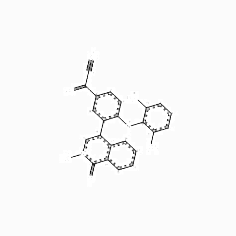 C#CC(=O)c1ccc(Nc2c(C)cccc2C)c(-c2cn(C)c(=O)c3ccccc23)c1